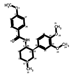 COc1ccc(C(=O)N[C@@H]2CCN(C)C[C@@H]2c2ccc(OC)c(OC)c2)cc1